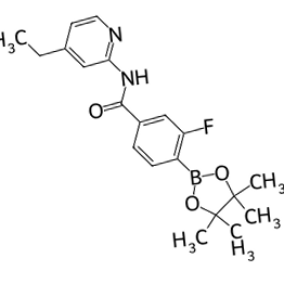 CCc1ccnc(NC(=O)c2ccc(B3OC(C)(C)C(C)(C)O3)c(F)c2)c1